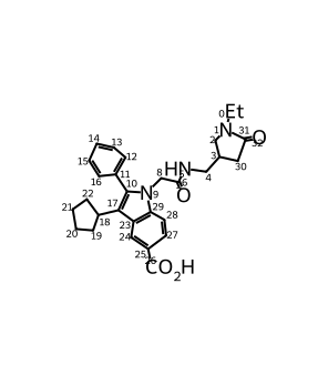 CCN1CC(CNC(=O)Cn2c(-c3ccccc3)c(C3CCCC3)c3cc(C(=O)O)ccc32)CC1=O